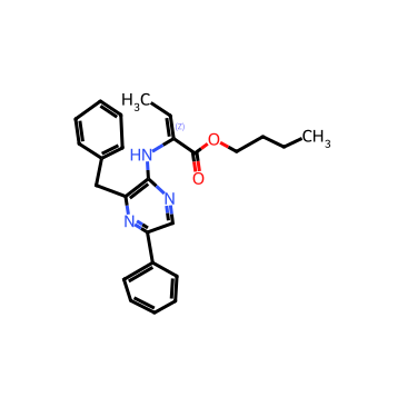 C/C=C(\Nc1ncc(-c2ccccc2)nc1Cc1ccccc1)C(=O)OCCCC